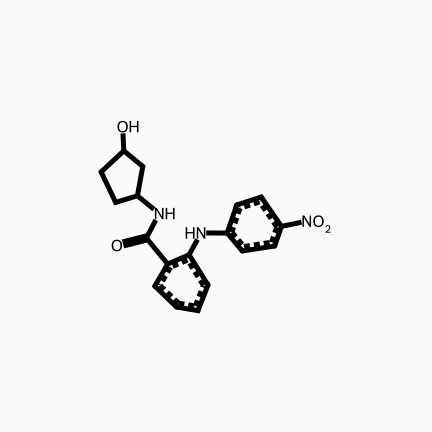 O=C(NC1CCC(O)C1)c1ccccc1Nc1ccc([N+](=O)[O-])cc1